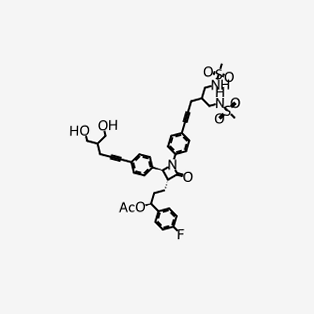 CC(=O)O[C@@H](CC[C@H]1C(=O)N(c2ccc(C#CCC(CNS(C)(=O)=O)CNS(C)(=O)=O)cc2)[C@@H]1c1ccc(C#CCC(CO)CO)cc1)c1ccc(F)cc1